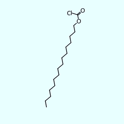 CCCCCCCCCCCCCCCCOC(=O)Cl